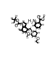 CCO[C@H]1CCN(Cc2c(OC)cc(C)c3c2ccn3C(=O)OC(C)(C)C)[C@H](c2ccc(C(=O)OC)c(N)c2)C1